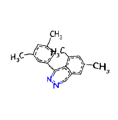 Cc1cc(C)cc(-c2nncc3cc(C)cc(C)c23)c1